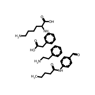 CCCCC(=O)Nc1ccc(C=O)cc1.NCCCCC(N)C(=O)O.NCCc1ccccc1.O=C(O)Cc1ccccc1